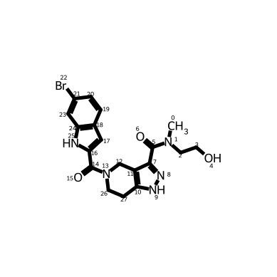 CN(CCO)C(=O)c1n[nH]c2c1CN(C(=O)c1cc3ccc(Br)cc3[nH]1)CC2